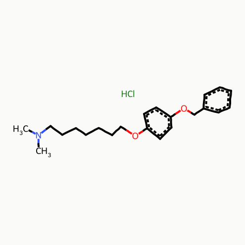 CN(C)CCCCCCCOc1ccc(OCc2ccccc2)cc1.Cl